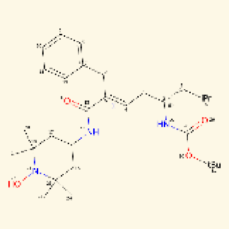 CC(C)C[C@@H](C/C=C(\Cc1ccccc1)C(=O)NC1CC(C)(C)N(O)C(C)(C)C1)NC(=O)OC(C)(C)C